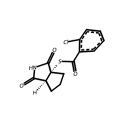 O=C(S[C@]12CCC[C@H]1C(=O)NC2=O)c1ccccc1Cl